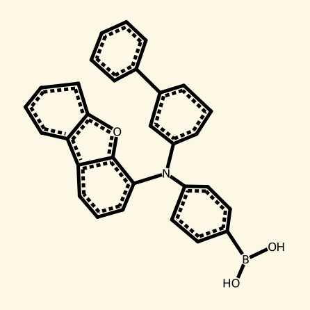 OB(O)c1ccc(N(c2cccc(-c3ccccc3)c2)c2cccc3c2oc2ccccc23)cc1